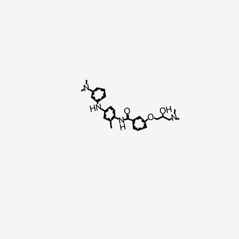 Cc1cc(Nc2cccc(N(C)C)c2)ccc1NC(=O)c1cccc(OCC(O)CN(C)C)c1